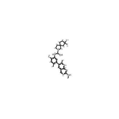 CNc1ncc2cc(-c3cc(NC(O)N4CCC5(CCC(F)(F)C5)C4)c(F)cc3C)c(C)nc2n1